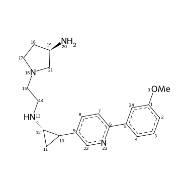 COc1cccc(-c2ccc(C3C[C@@H]3NCCN3CC[C@@H](N)C3)cn2)c1